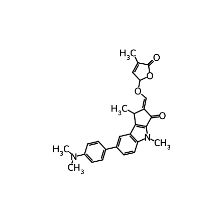 CC1=CC(O/C=C2/C(=O)c3c(c4cc(-c5ccc(N(C)C)cc5)ccc4n3C)C2C)OC1=O